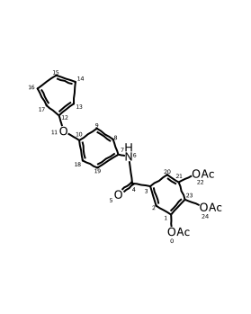 CC(=O)Oc1cc(C(=O)Nc2ccc(Oc3ccccc3)cc2)cc(OC(C)=O)c1OC(C)=O